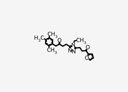 CCn1c(CCC(=O)Cc2cc(C)c(C)cc2C)nnc1CCC(=O)c1ccco1